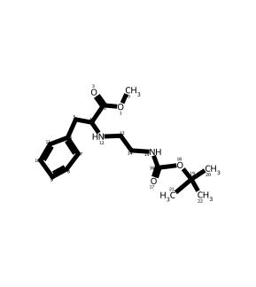 COC(=O)C(Cc1ccccc1)NCCNC(=O)OC(C)(C)C